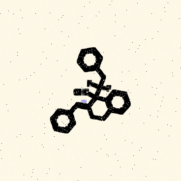 O=CC1(C(F)(F)Cc2ccccc2)/C(=C/c2ccccc2)CCc2ccccc21